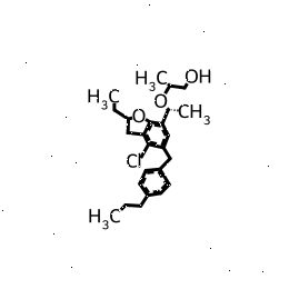 CCCc1ccc(Cc2cc([C@@H](C)O[C@@H](C)CO)c3c(c2Cl)CC(CC)O3)cc1